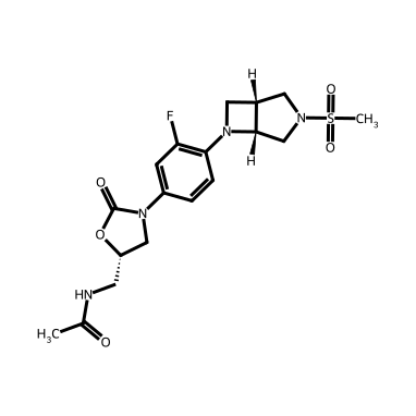 CC(=O)NC[C@H]1CN(c2ccc(N3C[C@@H]4CN(S(C)(=O)=O)C[C@@H]43)c(F)c2)C(=O)O1